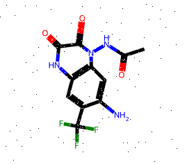 CC(=O)Nn1c(=O)c(=O)[nH]c2cc(C(F)(F)F)c(N)cc21